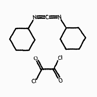 C(=NC1CCCCC1)=NC1CCCCC1.O=C(Cl)C(=O)Cl